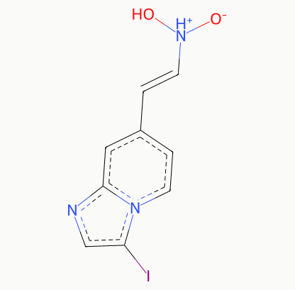 [O-][NH+](O)/C=C/c1ccn2c(I)cnc2c1